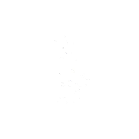 COc1nccc(C)c1N1CCC(N2Cc3cn(C)nc3N([C@H](C)c3ccccc3C(F)(F)F)C2=O)CC1